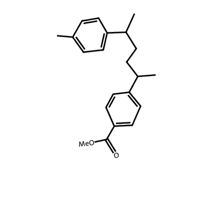 COC(=O)c1ccc(C(C)CCC(C)c2ccc(C)cc2)cc1